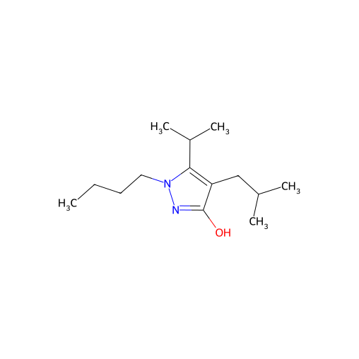 CCCCn1nc(O)c(CC(C)C)c1C(C)C